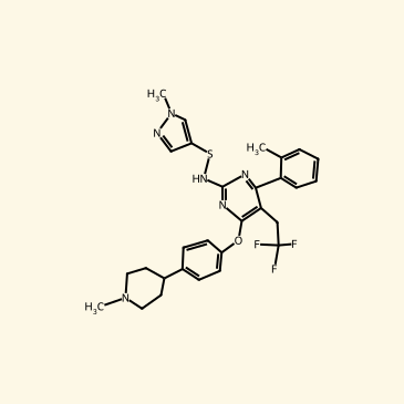 Cc1ccccc1-c1nc(NSc2cnn(C)c2)nc(Oc2ccc(C3CCN(C)CC3)cc2)c1CC(F)(F)F